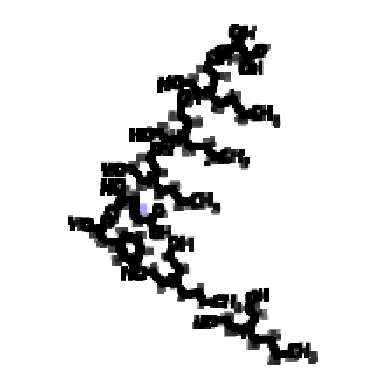 CCCCN(CCO)CCO.CCCCN(CCO)CCO.CCCCN(CCO)CCO.CCCCN(CCO)CCO.CCCCN(CCO)CCO.O=C(O)/C=C/C(=O)O.O=C(O)C(=O)O.O=C(O)Cc1ccccc1